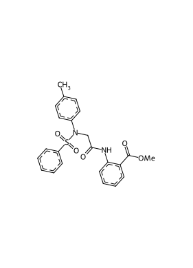 COC(=O)c1ccccc1NC(=O)CN(c1ccc(C)cc1)S(=O)(=O)c1ccccc1